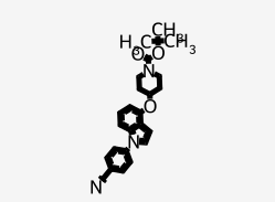 CC(C)(C)OC(=O)N1CCC(Oc2cccc3c2ccn3-c2ccc(C#N)cc2)CC1